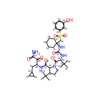 CC(C)(C)C1CCN(C(=O)[C@@H](NC(=O)NC2(CS(=O)(=O)c3cccc(O)c3)CCCCC2)C(C)(C)C)C1C(=O)NC(CC1CC1)C(=O)C(N)=O